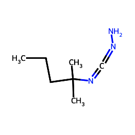 CCCC(C)(C)N=C=NN